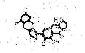 C[C@H]1CO[C@@H]2Cn3cc(-c4ncc(Cc5c(F)cc(F)cc5F)s4)c(=O)c(O)c3C(=O)N12